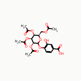 CC(=O)OC[C@H]1OC(Oc2ccc(C(=O)O)cc2O)[C@@H](OC(C)=O)[C@@H](OC(C)=O)[C@H]1OC(C)=O